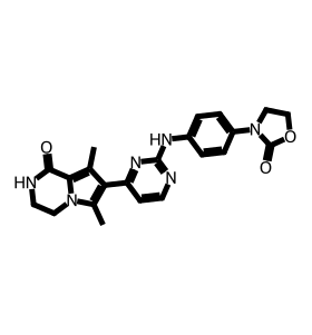 Cc1c(-c2ccnc(Nc3ccc(N4CCOC4=O)cc3)n2)c(C)n2c1C(=O)NCC2